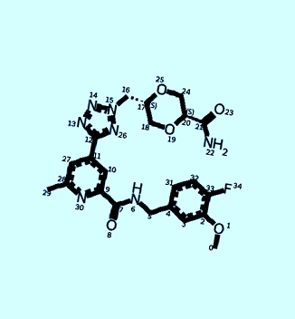 COc1cc(CNC(=O)c2cc(-c3nnn(C[C@H]4CO[C@H](C(N)=O)CO4)n3)cc(C)n2)ccc1F